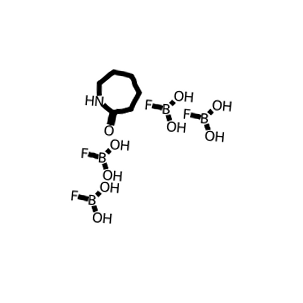 O=C1CCCCCN1.OB(O)F.OB(O)F.OB(O)F.OB(O)F